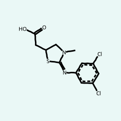 CN1CC(CC(=O)O)SC1=Nc1cc(Cl)cc(Cl)c1